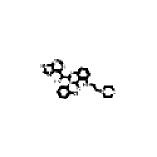 O=c1c2c(NCCN3CCOCC3)cccc2nc(C(S)c2ncnc3[nH]cnc23)n1-c1ccccc1Cl